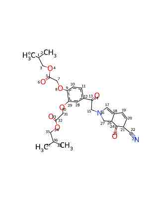 CC(C)COC(=O)COc1ccc(C(=O)CN2C=C3C=CC(C#N)C(=O)C3C2)cc1OCC(=O)OCC(C)C